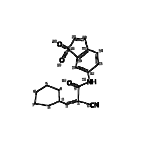 N#C/C(=C/C1CCCCC1)C(=O)Nc1ccc2c(c1)S(=O)(=O)C=C2